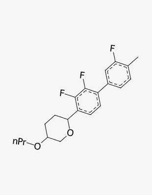 CCCOC1CCC(c2ccc(-c3ccc(C)c(F)c3)c(F)c2F)OC1